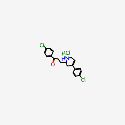 Cl.O=C(CCC1CC(c2ccc(Cl)cc2)=CCN1)c1ccc(Cl)cc1